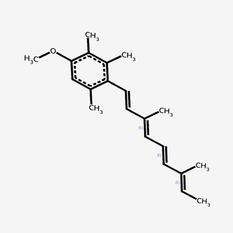 C/C=C(C)/C=C/C=C(\C)C=Cc1c(C)cc(OC)c(C)c1C